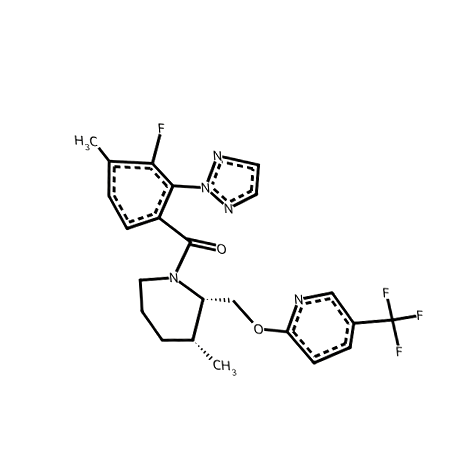 Cc1ccc(C(=O)N2CCC[C@@H](C)[C@H]2COc2ccc(C(F)(F)F)cn2)c(-n2nccn2)c1F